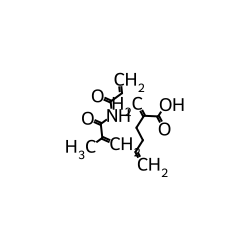 C=CC(=O)NC(=O)C(=C)C.C=CCCC(=C)C(=O)O